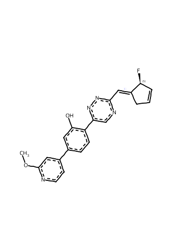 COc1cc(-c2ccc(-c3cnc(/C=C4\CC=C[C@@H]4F)nn3)c(O)c2)ccn1